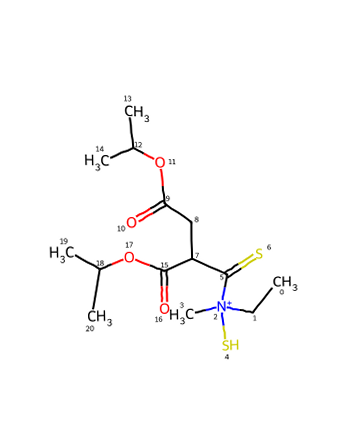 CC[N+](C)(S)C(=S)C(CC(=O)OC(C)C)C(=O)OC(C)C